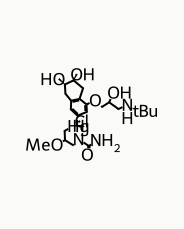 CC(C)(C)NCC(O)COc1cccc2c1C[C@H](O)[C@H](O)C2.COC(CNC(N)=O)[CH2][Hg][Cl]